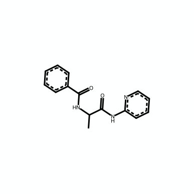 CC(NC(=O)c1ccccc1)C(=O)Nc1ccccn1